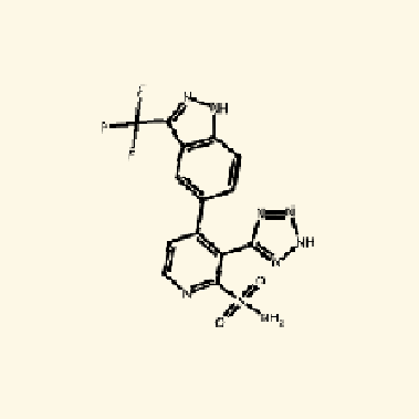 NS(=O)(=O)c1nccc(-c2ccc3[nH]nc(C(F)(F)F)c3c2)c1-c1nn[nH]n1